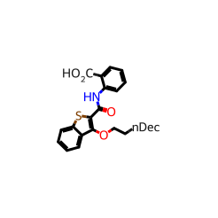 CCCCCCCCCCCCOc1c(C(=O)Nc2ccccc2C(=O)O)sc2ccccc12